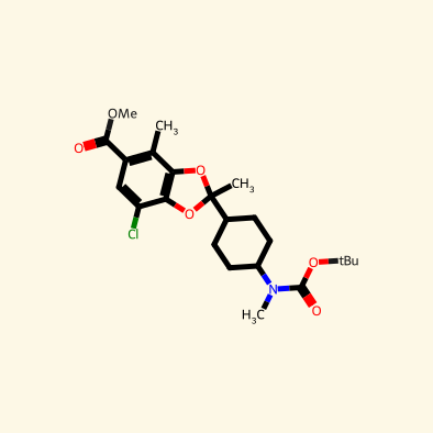 COC(=O)c1cc(Cl)c2c(c1C)OC(C)(C1CCC(N(C)C(=O)OC(C)(C)C)CC1)O2